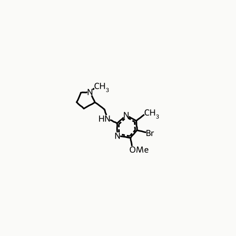 COc1nc(NCC2CCCN2C)nc(C)c1Br